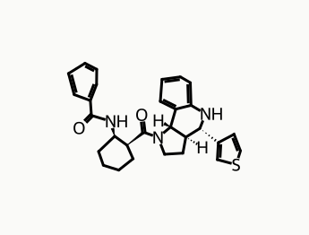 O=C(N[C@@H]1CCCC[C@@H]1C(=O)N1CC[C@@H]2[C@@H](c3ccsc3)Nc3ccccc3[C@H]21)c1ccccc1